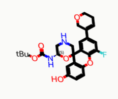 CC(C)(C)OC(=O)N[C@@H]1CNCC2(O1)c1cc(O)ccc1Oc1c(F)cc(C3=CCCOC3)cc12